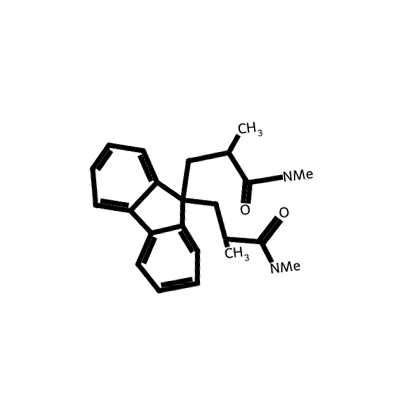 CNC(=O)C(C)CC1(CC(C)C(=O)NC)c2ccccc2-c2ccccc21